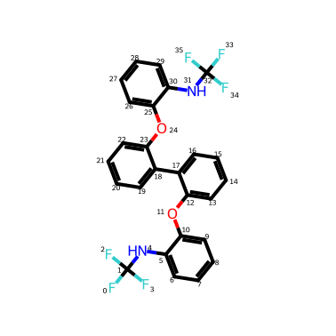 FC(F)(F)Nc1ccccc1Oc1ccccc1-c1ccccc1Oc1ccccc1NC(F)(F)F